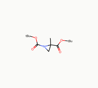 CC(C)(C)OC(=O)N1CC1(C)C(=O)OC(C)(C)C